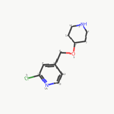 Clc1cc(COC2CCNCC2)ccn1